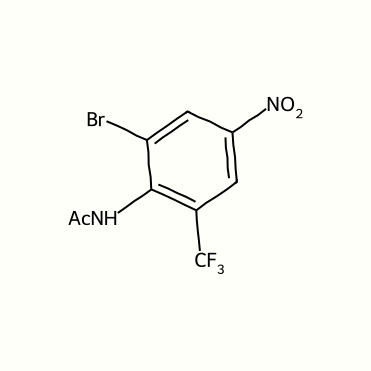 CC(=O)Nc1c(Br)cc([N+](=O)[O-])cc1C(F)(F)F